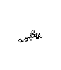 COc1ccc2c(CNCCC3CCN(Cc4ccccc4)CC3)c(C(=O)O)[nH]c2c1